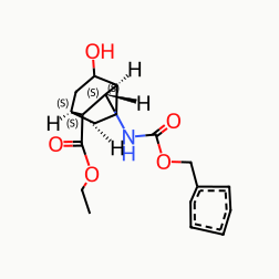 CCOC(=O)[C@H]1[C@H]2CC[C@H](C(O)C2)[C@@H]1NC(=O)OCc1ccccc1